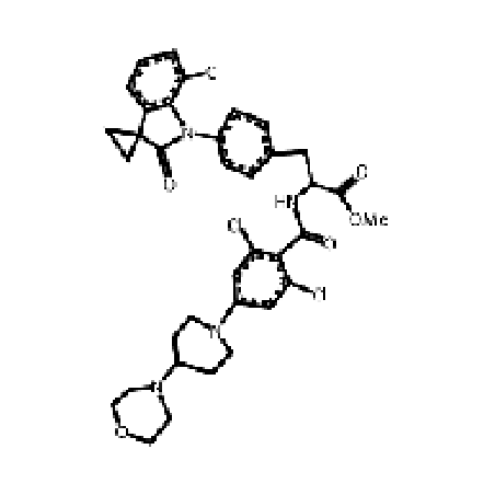 COC(=O)[C@H](Cc1ccc(N2C(=O)C3(CC3)c3cccc(Cl)c32)cc1)NC(=O)c1c(Cl)cc(N2CCC(N3CCOCC3)CC2)cc1Cl